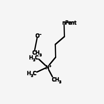 CCCCCCCC[N+](C)(C)C.C[O-]